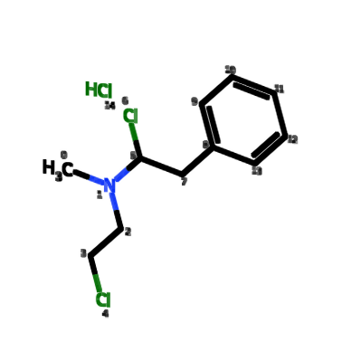 CN(CCCl)C(Cl)Cc1ccccc1.Cl